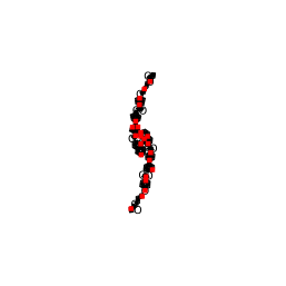 C=CC(=O)OCCCCOc1ccc(C(=O)Oc2ccc(-c3ccc(C(=O)Oc4ccc5ccccc5c4-c4c(OC(=O)c5ccc(-c6ccc(OC(=O)c7ccc(OCCCCOC(=O)C=C)cc7)cc6)cc5)ccc5ccccc45)cc3)cc2)cc1